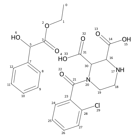 CCOC(=O)C(O)c1ccccc1.O=C(O)C1NCCN(C(=O)c2ccccc2Cl)C1C(=O)O